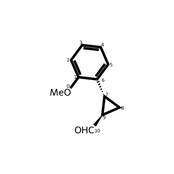 COc1ccccc1[C@@H]1C[C@H]1C=O